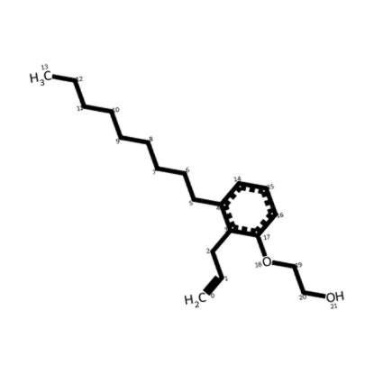 C=CCc1c(CCCCCCCCC)cccc1OCCO